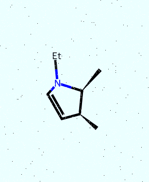 CCN1C=C[C@H](C)[C@@H]1C